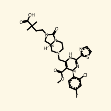 COC(=O)C1=C(CN2CCN3C(=O)N(CCC(C)(C)C(=O)O)C[C@@H]3C2)NC(c2nccs2)=N[C@H]1c1ccc(F)cc1Cl